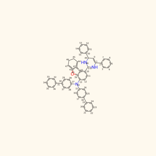 C1=C(c2ccccc2)NC(c2ccc(N(c3ccc(-c4ccccc4)cc3)c3ccc(-c4ccccc4)cc3)c3oc4c(c23)=CCCC=4)NC1c1ccccc1